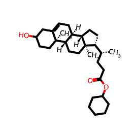 C[C@H](CCC(=O)OC1CCCCC1)[C@H]1CC[C@H]2[C@@H]3CC=C4CC(O)CC[C@]4(C)[C@H]3CC[C@]12C